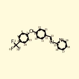 FC(F)(F)c1ccc(Oc2ccc(C=Nc3ccccn3)cc2)cc1